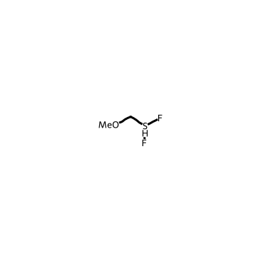 COC[SH](F)F